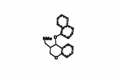 CNCC1COc2ccccc2C1Oc1cccc2ccccc12